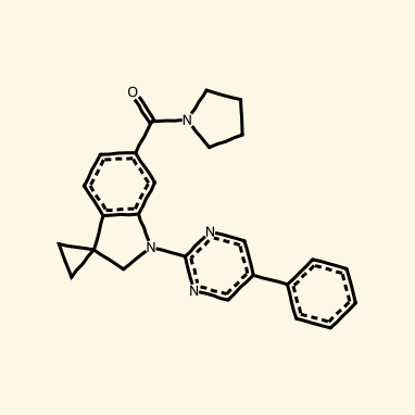 O=C(c1ccc2c(c1)N(c1ncc(-c3ccccc3)cn1)CC21CC1)N1CCCC1